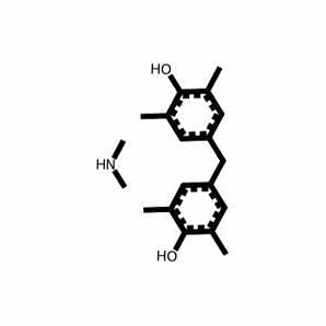 CNC.Cc1cc(Cc2cc(C)c(O)c(C)c2)cc(C)c1O